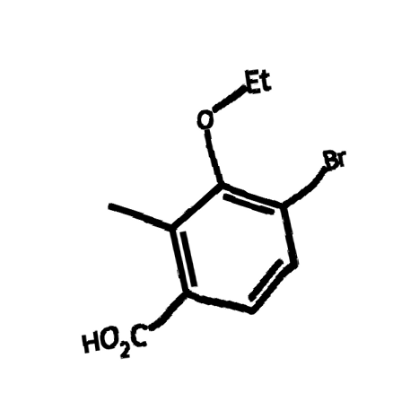 CCOc1c(Br)ccc(C(=O)O)c1C